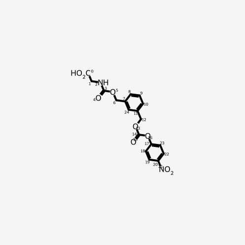 O=C(O)CNC(=O)OCc1cccc(COC(=O)Oc2ccc([N+](=O)[O-])cc2)c1